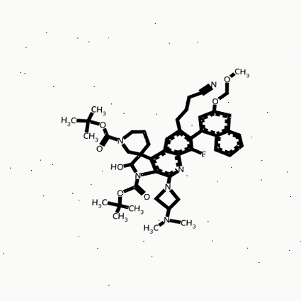 COCOc1cc(-c2c(CCCC#N)cc3c4c(c(N5CC(N(C)C)C5)nc3c2F)N(C(=O)OC(C)(C)C)C(O)C42CCCN(C(=O)OC(C)(C)C)C2)c2ccccc2c1